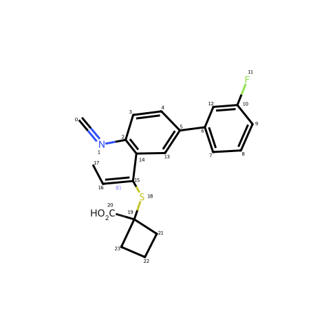 C=Nc1ccc(-c2cccc(F)c2)cc1/C(=C\C)SC1(C(=O)O)CCC1